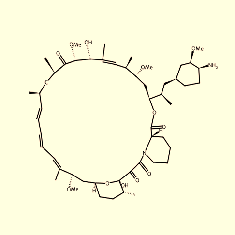 CO[C@H]1C[C@@H]2CC[C@@H](C)[C@@](O)(O2)C(=O)C(=O)N2CCCC[C@H]2C(=O)O[C@H]([C@H](C)C[C@@H]2CC[C@H](N)[C@H](OC)C2)C[C@@H](OC)[C@H](C)/C=C(\C)[C@@H](O)[C@@H](OC)C(=O)[C@H](C)C[C@H](C)/C=C/C=C/C=C/1C